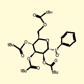 CC(C)(C)C(=O)OC[C@H]1O[C@H]([S+]([O-])c2ccccc2)[C@@H](OC(=O)C(C)(C)C)[C@@H](OC(=O)C(C)(C)C)[C@@H]1OC(=O)C(C)(C)C